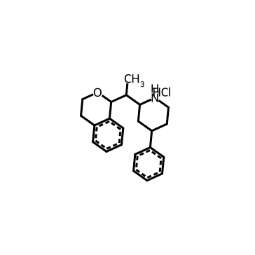 CC(C1CC(c2ccccc2)CCN1)C1OCCc2ccccc21.Cl